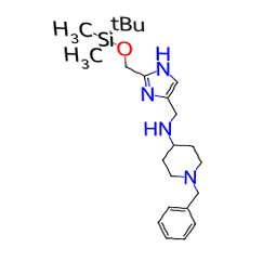 CC(C)(C)[Si](C)(C)OCc1nc(CNC2CCN(Cc3ccccc3)CC2)c[nH]1